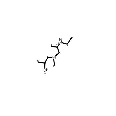 CCNC(C)CN(C)CC(C)O